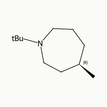 C[C@@H]1CCCN(C(C)(C)C)CC1